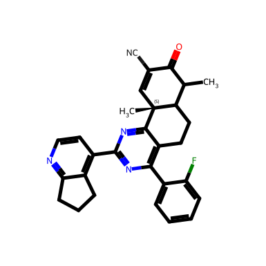 CC1C(=O)C(C#N)=C[C@@]2(C)c3nc(-c4ccnc5c4CCC5)nc(-c4ccccc4F)c3CCC12